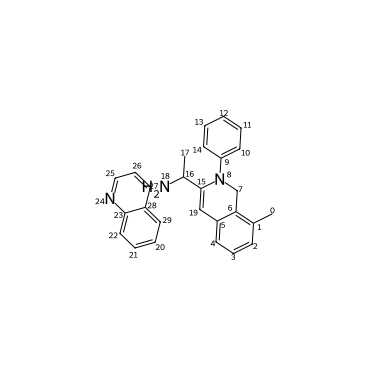 Cc1cccc2c1CN(c1ccccc1)C(C(C)N)=C2.c1ccc2ncccc2c1